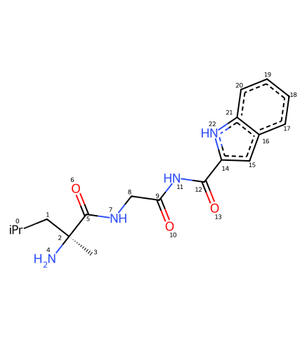 CC(C)C[C@](C)(N)C(=O)NCC(=O)NC(=O)c1cc2ccccc2[nH]1